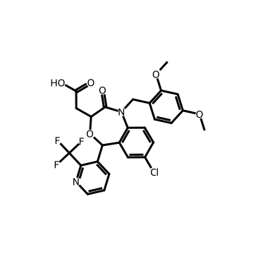 COc1ccc(CN2C(=O)C(CC(=O)O)OC(c3cccnc3C(F)(F)F)c3cc(Cl)ccc32)c(OC)c1